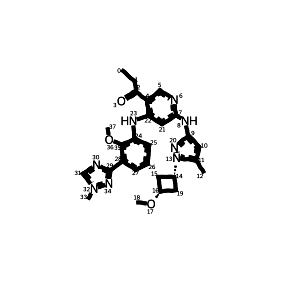 CCC(=O)c1cnc(Nc2cc(C)n([C@H]3C[C@@H](OC)C3)n2)cc1Nc1cccc(-c2ncn(C)n2)c1OC